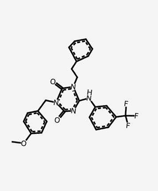 COc1ccc(Cn2c(=O)nc(Nc3cccc(C(F)(F)F)c3)n(CCc3ccccc3)c2=O)cc1